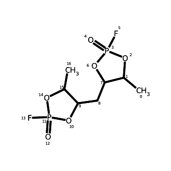 CC1OP(=O)(F)OC1CC1OP(=O)(F)OC1C